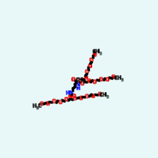 COCCOCCOCCOCCOCC(COCCOCCOCCOCCOC)OC(=O)NCCCCC(NC(=O)OC(COCCOCCOCCOCCOC)COCCOCCOCCOCCOC)C(C)=O